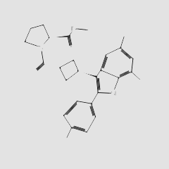 CCNC(=O)[C@@H]1CCCN1C(=O)[C@H]1C[C@H](c2c(-c3ccc(F)cc3)[nH]c3c(F)cc(F)cc32)C1